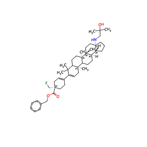 CC(C)(O)CN[C@]12CCC[C@@H]1[C@H]1CCC3[C@@]4(C)CC=C(C5=CC[C@](CF)(C(=O)OCc6ccccc6)CC5)C(C)(C)C4CC[C@@]3(C)[C@]1(C)CC2